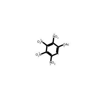 CC(=O)Oc1cc([N+](=O)[O-])c([N+](=O)[O-])c([N+](=O)[O-])c1[N+](=O)[O-]